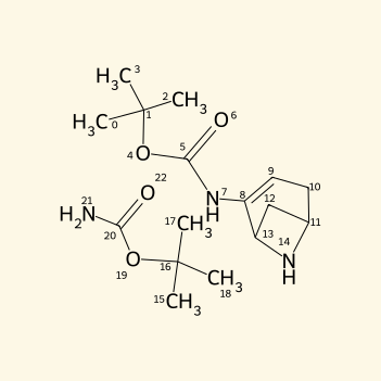 CC(C)(C)OC(=O)NC1=CCC2CC1N2.CC(C)(C)OC(N)=O